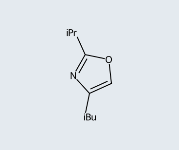 CCC(C)c1coc(C(C)C)n1